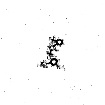 Cn1c(-c2ccccc2C(F)(F)F)nnc1C(C)(C)Oc1ccc(N)cc1C1=NNCO1